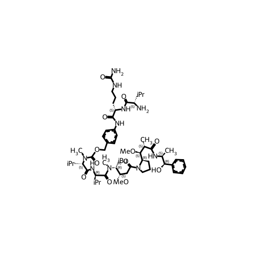 CC[C@@H](C)[C@H]([C@H](CC(=O)N1CCC[C@@H]1[C@@H](OC)[C@H](C)C(=O)N[C@@H](C)[C@H](O)c1ccccc1)OC)N(C)C(=O)[C@H](NC(=O)[C@H](C(C)C)N(C)C(=O)OCc1ccc(NC(=O)[C@H](CCCNC(N)=O)NC(=O)[C@@H](N)C(C)C)cc1)C(C)C